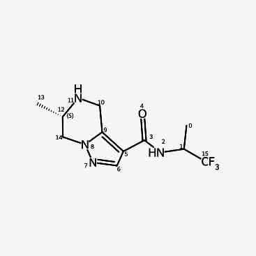 CC(NC(=O)c1cnn2c1CN[C@@H](C)C2)C(F)(F)F